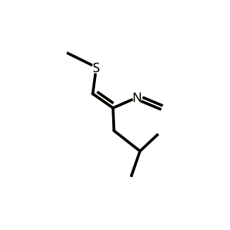 C=N/C(=C\SC)CC(C)C